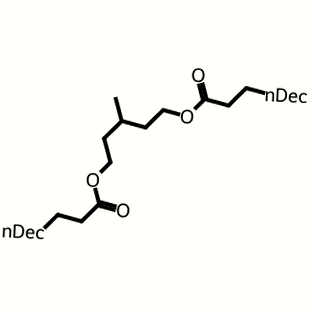 CCCCCCCCCCCCC(=O)OCCC(C)CCOC(=O)CCCCCCCCCCCC